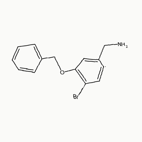 NCc1[c]cc(Br)c(OCc2ccccc2)c1